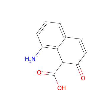 Nc1cccc2c1C(C(=O)O)C(=O)C=C2